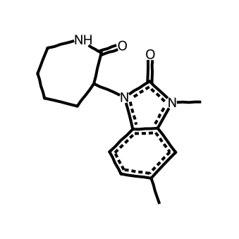 Cc1ccc2c(c1)n(C)c(=O)n2C1CCCCNC1=O